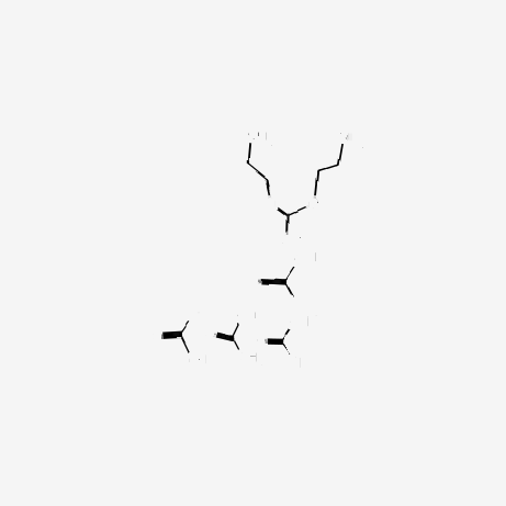 CC(=O)O.CC(=O)O.CC(=O)O.CC(=O)O.CC(OCCN)OCCN